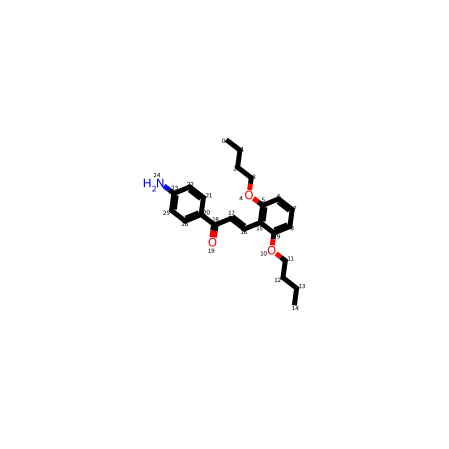 CCCCOc1cccc(OCCCC)c1C=CC(=O)c1ccc(N)cc1